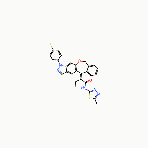 CC/C(C(=O)Nc1nnc(C)s1)=C1/c2ccccc2COc2cc3c(cnn3-c3ccc(F)cc3)cc21